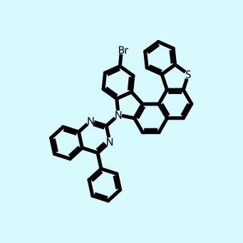 Brc1ccc2c(c1)c1c3c(ccc4sc5ccccc5c43)ccc1n2-c1nc(-c2ccccc2)c2ccccc2n1